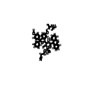 CC(C)NC(C)C.COc1ccc(C(OCC(NC(=O)c2c3ccccc3nc3ccccc23)C(C)O[PH](=O)OCCC#N)(c2ccccc2)c2ccc(OC)cc2)cc1